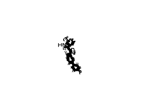 COc1nccc2c(C(=O)c3cccc(-c4ccc(F)cc4)c3)c[nH]c12